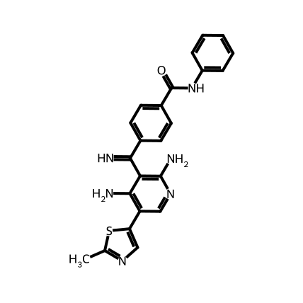 Cc1ncc(-c2cnc(N)c(C(=N)c3ccc(C(=O)Nc4ccccc4)cc3)c2N)s1